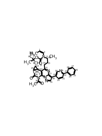 C/C=C\N(C(=O)OC(C)(C)C)[C@H](C)CCc1nc2c(-c3ccc(-c4ccccc4)nc3)cnn2c(N(C(C)=O)C(C)=O)c1C1CC1